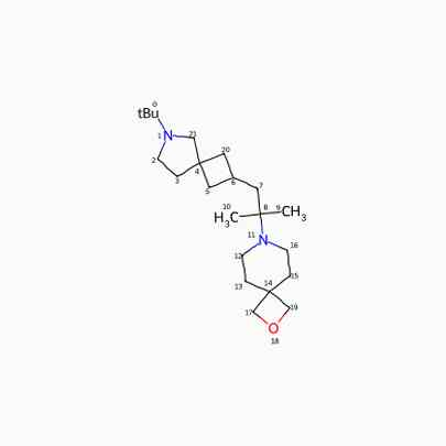 CC(C)(C)N1CCC2(CC(CC(C)(C)N3CCC4(CC3)COC4)C2)C1